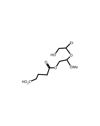 CCC(CO)OC(COC(=O)CCCC(=O)O)OC